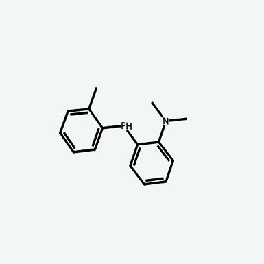 Cc1ccccc1Pc1ccccc1N(C)C